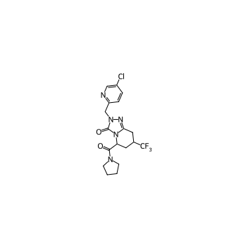 O=C(C1CC(C(F)(F)F)Cc2nn(Cc3ccc(Cl)cn3)c(=O)n21)N1CCCC1